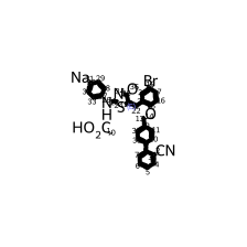 CC(=O)O.N#Cc1ccccc1-c1ccc(COc2ccc(Br)cc2/C=C2/SC(Nc3cc[c]([Na])cc3)=NC2=O)cc1